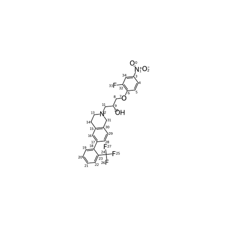 O=[N+]([O-])c1ccc(OCC(O)CN2CCc3cc(-c4ccccc4C(F)(F)F)ccc3C2)c(F)c1